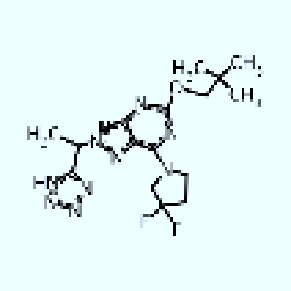 CC(c1nnn[nH]1)n1nc2nc(OCC(C)(C)C)nc(N3CCC(F)(F)C3)c2n1